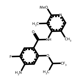 COc1ncc(C)c(NC(=O)c2cc(F)c(N)cc2OC(C)C(F)(F)F)c1C